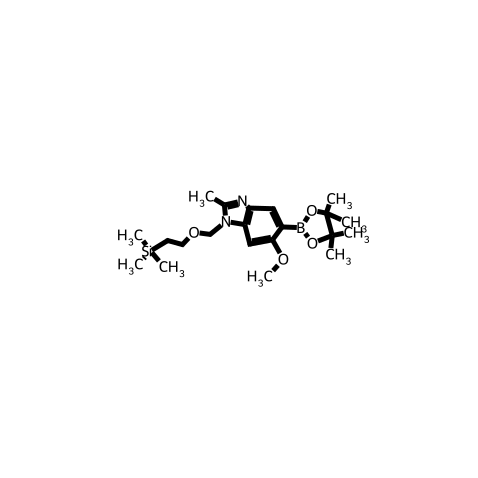 COc1cc2c(cc1B1OC(C)(C)C(C)(C)O1)nc(C)n2COCC[Si](C)(C)C